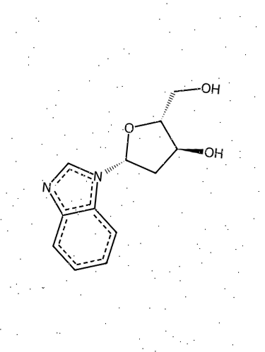 OC[C@H]1O[C@@H](n2cnc3ccccc32)C[C@@H]1O